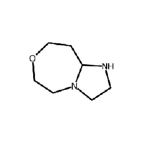 C1CN2CCOCCC2N1